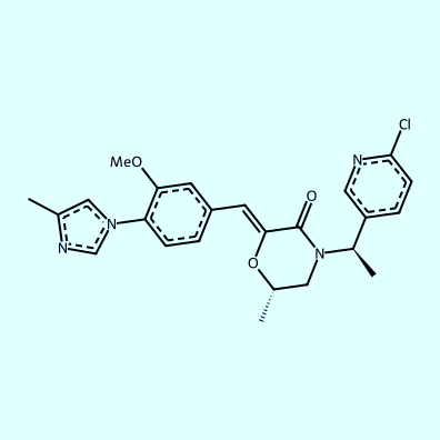 COc1cc(C=C2O[C@@H](C)CN([C@H](C)c3ccc(Cl)nc3)C2=O)ccc1-n1cnc(C)c1